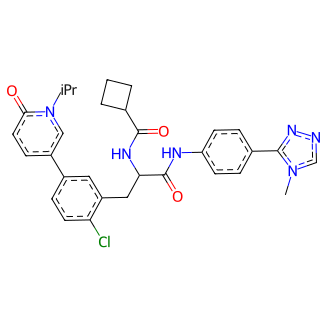 CC(C)n1cc(-c2ccc(Cl)c(CC(NC(=O)C3CCC3)C(=O)Nc3ccc(-c4nncn4C)cc3)c2)ccc1=O